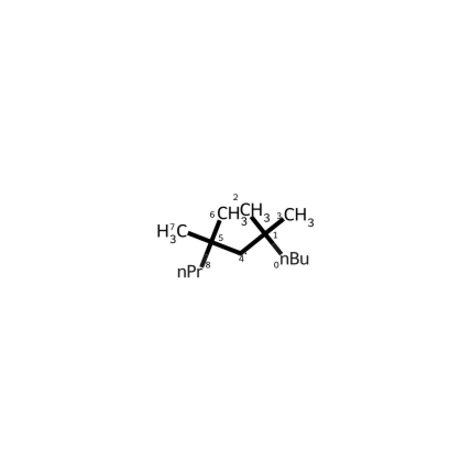 CCCCC(C)(C)[CH]C(C)(C)CCC